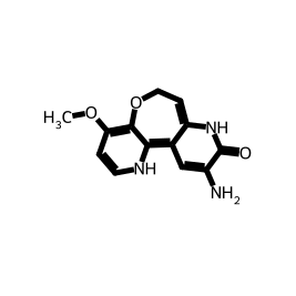 COC1=C2OCC=c3[nH]c(=O)c(N)cc3=C2NC=C1